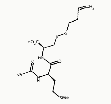 C=CCCSSC[C@@H](NC(=O)[C@@H](CCSC)NC(=O)CCC)C(=O)O